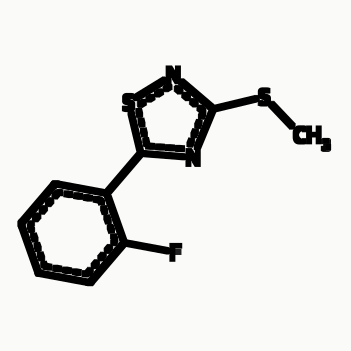 CSc1nsc(-c2ccccc2F)n1